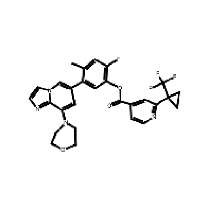 Cc1cc(F)c(OC(=O)c2ccnc(C3(C(F)(F)F)CC3)c2)cc1-c1cc(N2CCOCC2)c2nccn2c1